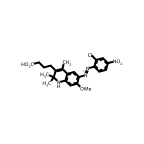 COc1cc2c(cc1/N=N/c1ccc([N+](=O)[O-])cc1Cl)C(C)=C(CCCC(=O)O)C(C)(C)N2